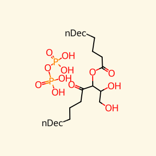 CCCCCCCCCCCCCC(=O)OC(C(=O)CCCCCCCCCCCCC)C(O)CO.O=P(O)(O)OP(=O)(O)O